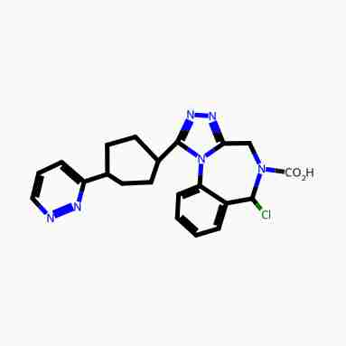 O=C(O)N1Cc2nnc(C3CCC(c4cccnn4)CC3)n2-c2ccccc2C1Cl